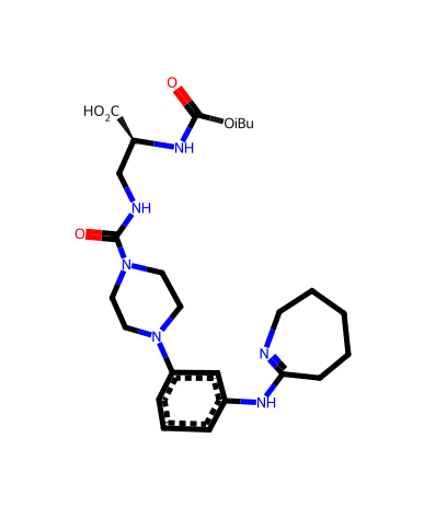 CC(C)COC(=O)N[C@@H](CNC(=O)N1CCN(c2cccc(NC3=NCCCCC3)c2)CC1)C(=O)O